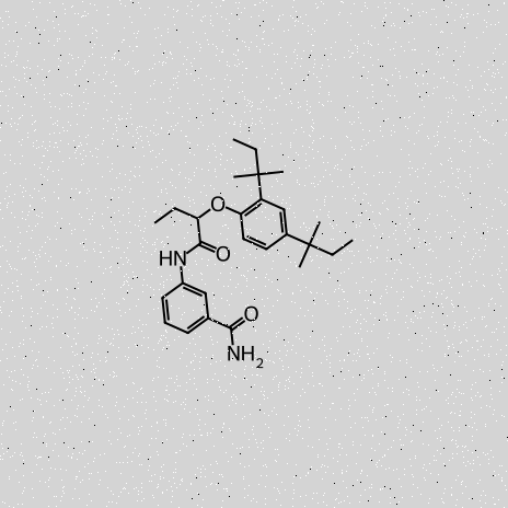 CCC(Oc1ccc(C(C)(C)CC)cc1C(C)(C)CC)C(=O)Nc1cccc(C(N)=O)c1